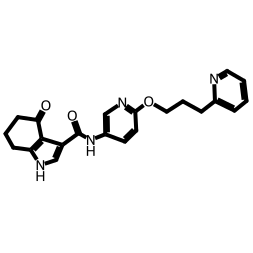 O=C(Nc1ccc(OCCCc2ccccn2)nc1)c1c[nH]c2c1C(=O)CCC2